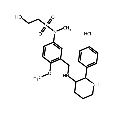 COc1ccc(N(C)S(=O)(=O)CCO)cc1CNC1CCCNC1c1ccccc1.Cl